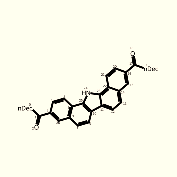 CCCCCCCCCCC(=O)c1ccc2c(ccc3c4ccc5cc(C(=O)CCCCCCCCCC)ccc5c4[nH]c23)c1